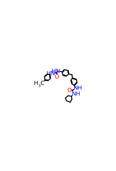 Cc1ccc(NC(=O)Nc2ccc(Cc3ccc(NC(=O)NC4CCCCC4)cc3)cc2)cc1